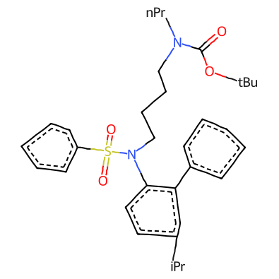 CCCN(CCCCN(c1ccc(C(C)C)cc1-c1ccccc1)S(=O)(=O)c1ccccc1)C(=O)OC(C)(C)C